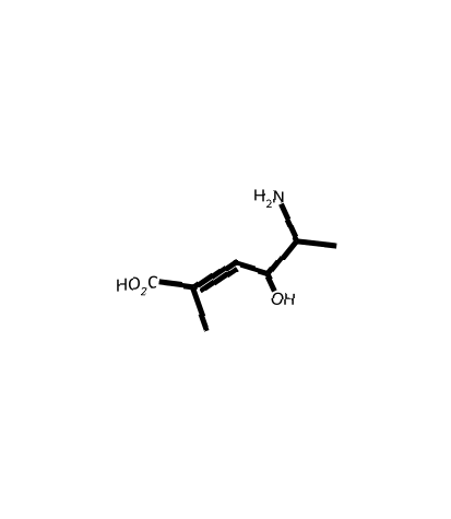 CC(=CC(O)C(C)N)C(=O)O